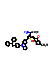 CCCCCCCC(N)c1cc(-c2ccc3c(c2)C2CCCC2N3c2ccc(C=C(c3ccccc3)c3ccccc3)cc2)sc1/C=C1\C(=O)c2ccc(C(=O)O)cc2C1=O